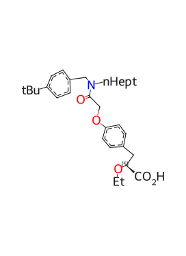 CCCCCCCN(Cc1ccc(C(C)(C)C)cc1)C(=O)COc1ccc(C[C@H](OCC)C(=O)O)cc1